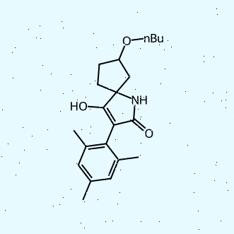 CCCCOC1CCC2(C1)NC(=O)C(c1c(C)cc(C)cc1C)=C2O